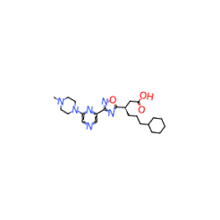 CN1CCN(c2cncc(-c3noc([C@H](CCCC4CCCCC4)CC(=O)O)n3)n2)CC1